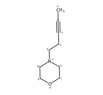 CC#CC[CH]N1CCOCC1